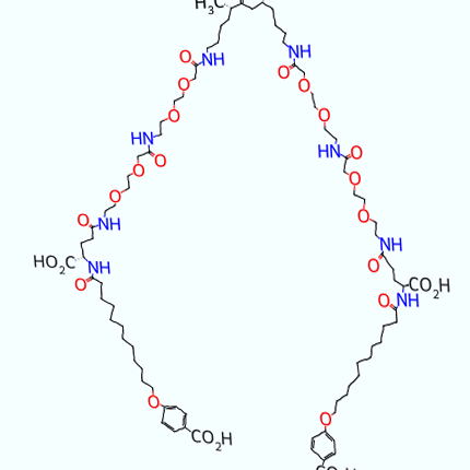 CC(=O)[C@H](CCCCNC(=O)COCCOCCNC(=O)COCCOCCNC(=O)CC[C@H](NC(=O)CCCCCCCCCCCOc1ccc(C(=O)O)cc1)C(=O)O)CC(=O)[C@@H](C)CCCCNC(=O)COCCOCCNC(=O)COCCOCCNC(=O)CC[C@H](NC(=O)CCCCCCCCCCCOc1ccc(C(=O)O)cc1)C(=O)O